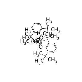 C[O][Al]([O]c1c(C(C)(C)C)cccc1C(C)(C)C)[O]c1c(C(C)(C)C)cccc1C(C)(C)C